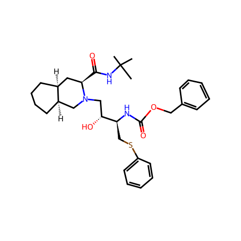 CC(C)(C)NC(=O)[C@@H]1C[C@@H]2CCCC[C@@H]2CN1C[C@@H](O)[C@H](CSc1ccccc1)NC(=O)OCc1ccccc1